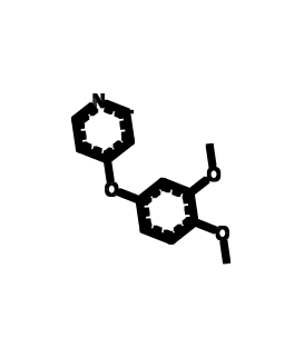 COc1ccc(Oc2c[c]ncc2)cc1OC